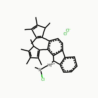 CC1=C(C)C(C)C(c2ccc3c(c2C2=C(C)C(C)=C(C)C2C)[CH]([Hf+2][Si](C)Cl)c2ccccc2-3)=C1C.[Cl-].[Cl-]